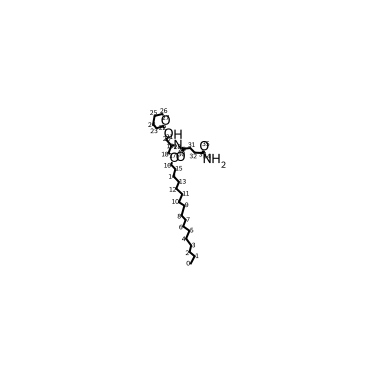 CCCCCCCCCCCCCCCCCOCC(COC1CCCCO1)NC(=O)CCC(N)=O